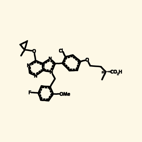 COc1ccc(F)cc1Cn1c(-c2ccc(OCC[C@@H](C)C(=O)O)cc2Cl)nc2c(OC3(C)CC3)ncnc21